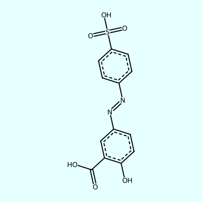 O=C(O)c1cc(N=Nc2ccc(S(=O)(=O)O)cc2)ccc1O